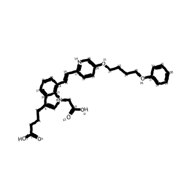 O=C(O)CCCc1cn(CC(=O)O)c2c(C=Cc3ccc(OCCCCOc4ccccc4)cn3)cccc12